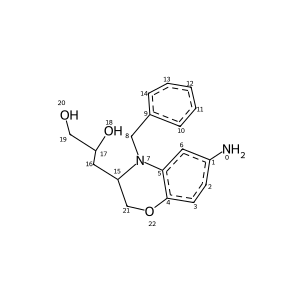 Nc1ccc2c(c1)N(Cc1ccccc1)C(CC(O)CO)CO2